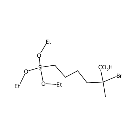 CCO[Si](CCCCC(C)(Br)C(=O)O)(OCC)OCC